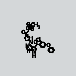 CS(=O)(=O)OCC(=O)N1CCC(Nc2ncnc3[nH]cc(C(=O)c4ccc(Oc5ccccc5)cc4Cl)c23)C1